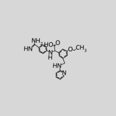 CCOc1cc(CNc2ccccn2)cc(C(Nc2ccc(C(=N)N)cc2)C(=O)O)c1